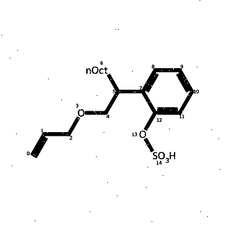 C=CCOCC(CCCCCCCC)c1ccccc1OS(=O)(=O)O